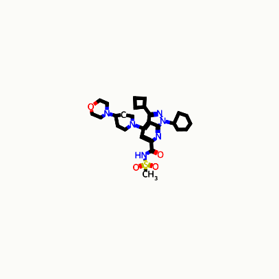 CS(=O)(=O)NC(=O)c1cc(N2CCC(N3CCOCC3)CC2)c2c(C3CCC3)nn(C3CCCCC3)c2n1